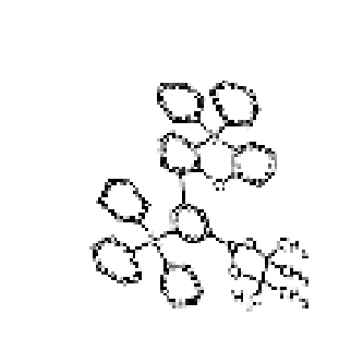 CC1(C)OB(c2cc(-c3cccc4c3Oc3ccccc3[Si]4(c3ccccc3)c3ccccc3)cc([Si](c3ccccc3)(c3ccccc3)c3ccccc3)c2)OC1(C)C